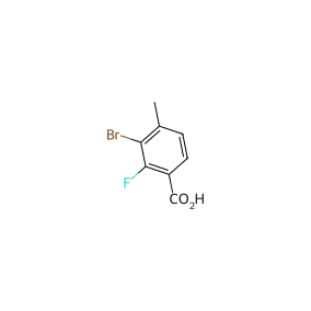 Cc1ccc(C(=O)O)c(F)c1Br